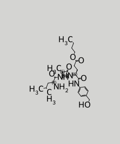 CCCCOC(=O)CC[C@H](NC(=O)[C@H](C)NC(=O)[C@H](N)CC(C)C)C(=O)Nc1ccc(CO)cc1